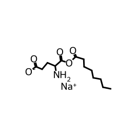 CCCCCCCC(=O)OC(=O)C(N)CCC(=O)[O-].[Na+]